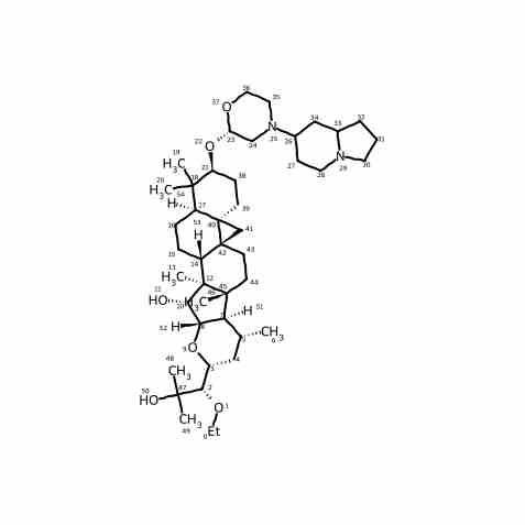 CCO[C@@H]([C@H]1C[C@@H](C)[C@H]2[C@H](O1)[C@H](O)[C@@]1(C)[C@@H]3CC[C@H]4C(C)(C)[C@@H](O[C@H]5CN(C6CCN7CCCC7C6)CCO5)CC[C@@]45C[C@@]35CC[C@]21C)C(C)(C)O